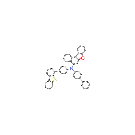 c1ccc(-c2ccc(N(c3ccc(-c4cccc5c4sc4ccccc45)cc3)c3cc4oc5ccccc5c4c4ccccc34)cc2)cc1